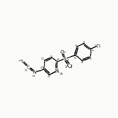 O=S(=O)(c1ccc(Cl)cc1)c1ccc(N=C=S)cn1